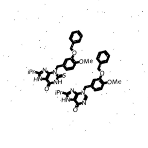 COc1ccc(Cn2c(=S)[nH]c(=O)c3[nH]c(C(C)C)nc32)cc1OCc1ccccc1.COc1ccc(Cn2cnc(=O)c3[nH]c(C(C)C)nc32)cc1OCc1ccccc1